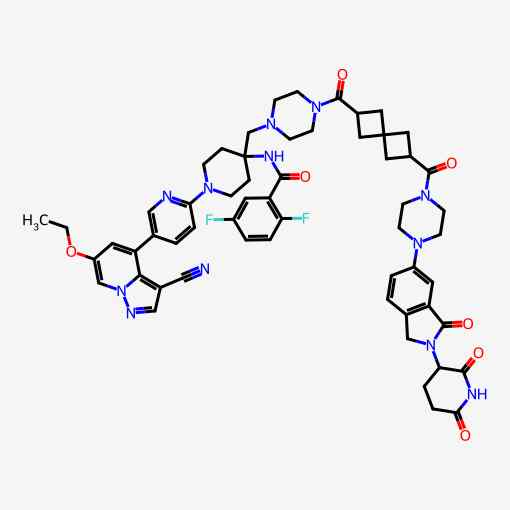 CCOc1cc(-c2ccc(N3CCC(CN4CCN(C(=O)C5CC6(C5)CC(C(=O)N5CCN(c7ccc8c(c7)C(=O)N(C7CCC(=O)NC7=O)C8)CC5)C6)CC4)(NC(=O)c4cc(F)ccc4F)CC3)nc2)c2c(C#N)cnn2c1